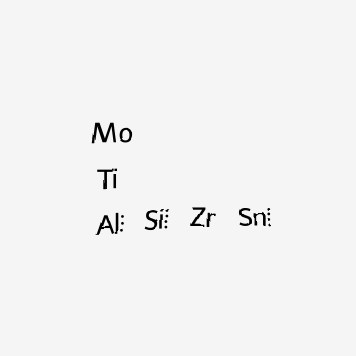 [Al].[Mo].[Si].[Sn].[Ti].[Zr]